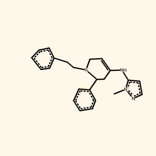 Cn1nccc1NC1=CCN(CCc2ccccc2)C(c2ccccc2)C1